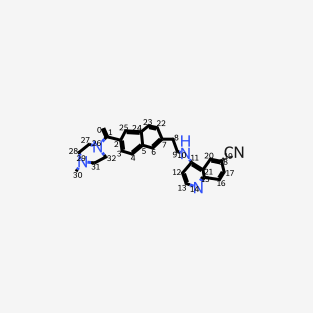 C=C(c1ccc2cc(CCNc3ccnc4ccc(C#N)cc34)ccc2c1)N1CCN(C)CC1